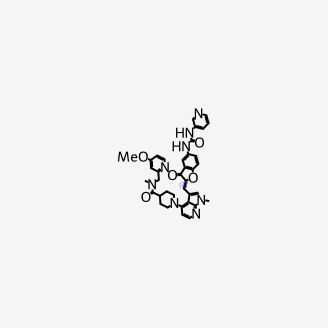 COc1ccnc(CN(C)C(=O)C2CCN(c3ccnc4c3c(/C=C3\Oc5ccc(NC(=O)Nc6cccnc6)cc5C3=O)cn4C)CC2)c1